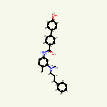 Cc1ccc(NC(=O)c2ccc(-c3ccc(O)cc3)cc2)cc1N(C)CCCc1ccccc1